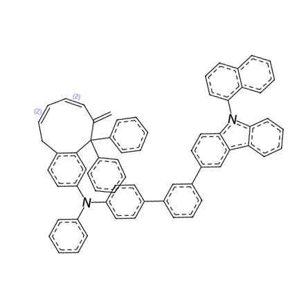 C=C1/C=C\C=C/Cc2ccc(N(c3ccccc3)c3ccc(-c4cccc(-c5ccc6c(c5)c5ccccc5n6-c5cccc6ccccc56)c4)cc3)cc2C1(c1ccccc1)c1ccccc1